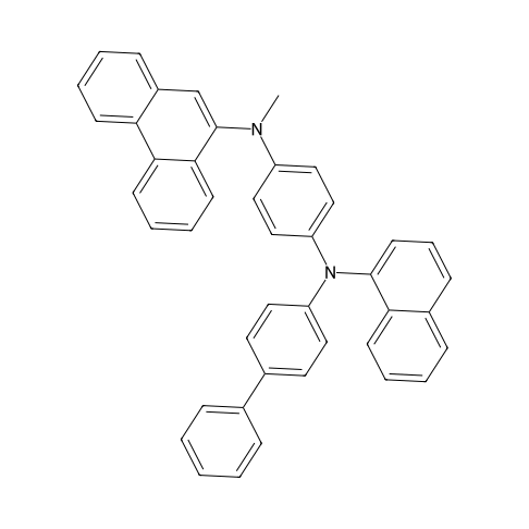 CN(c1ccc(N(c2ccc(-c3ccccc3)cc2)c2cccc3ccccc23)cc1)c1cc2ccccc2c2ccccc12